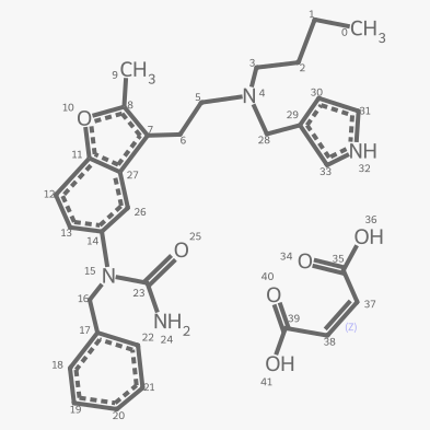 CCCCN(CCc1c(C)oc2ccc(N(Cc3ccccc3)C(N)=O)cc12)Cc1cc[nH]c1.O=C(O)/C=C\C(=O)O